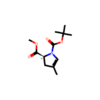 COC(=O)[C@@H]1CC(C)=CN1C(=O)OC(C)(C)C